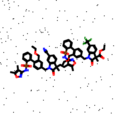 CCOCc1cc(CN2C(=O)C(C)(CCc3c(NS(=O)(=O)c4ccccc4-c4ccc(CN5C(=O)C(C)(C(=O)OCC)c6ccc(C(F)(F)F)cc65)cc4COCC)noc3C)c3ccc(C#N)cc32)ccc1-c1ccccc1S(=O)(=O)Nc1noc(C)c1C